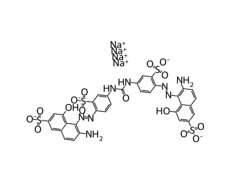 Nc1ccc2cc(S(=O)(=O)[O-])cc(O)c2c1N=Nc1ccc(NC(=O)Nc2ccc(N=Nc3c(N)ccc4cc(S(=O)(=O)[O-])cc(O)c34)c(S(=O)(=O)[O-])c2)cc1S(=O)(=O)[O-].[Na+].[Na+].[Na+].[Na+]